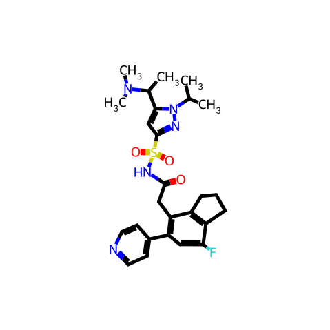 CC(c1cc(S(=O)(=O)NC(=O)Cc2c(-c3ccncc3)cc(F)c3c2CCC3)nn1C(C)C)N(C)C